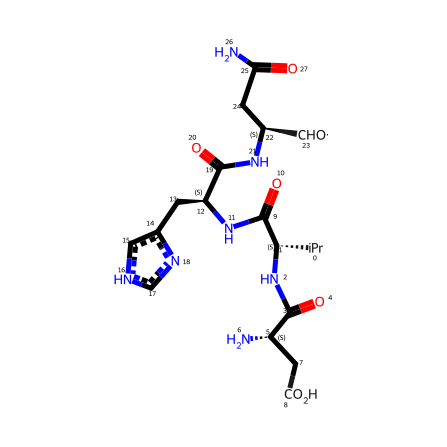 CC(C)[C@H](NC(=O)[C@@H](N)CC(=O)O)C(=O)N[C@@H](Cc1c[nH]cn1)C(=O)N[C@H]([C]=O)CC(N)=O